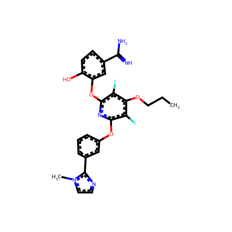 CCCOc1c(F)c(Oc2cccc(-c3nccn3C)c2)nc(Oc2cc(C(=N)N)ccc2O)c1F